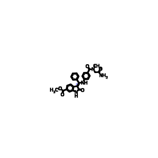 COC(=O)c1ccc2c(c1)NC(=O)/C2=C(\Nc1ccc(C(=O)N(C)CC(N)=O)cc1)c1ccccc1